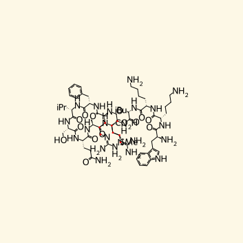 CC[C@H](C)[C@H](NC(=O)[C@H](CCCCN)NC(=O)[C@H](CCCCN)NC(=O)[C@@H](N)Cc1c[nH]c2ccccc12)C(=O)N[C@@H](CCCN=C(N)N)C(=O)N[C@@H](CCCN=C(N)N)C(=O)N[C@@H](Cc1ccccc1)C(=O)N[C@H](C(=O)N[C@@H](CO)C(=O)N[C@@H](CCC(N)=O)C(=O)N[C@@H](C)C(=O)N[C@@H](CCSC)C(=O)O)C(C)C